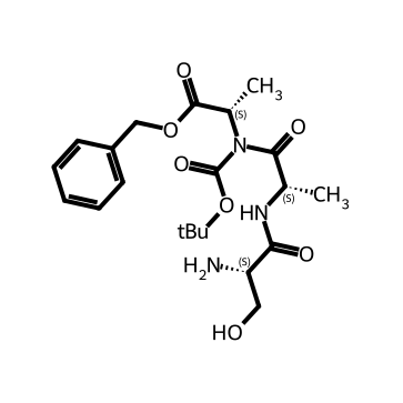 C[C@H](NC(=O)[C@@H](N)CO)C(=O)N(C(=O)OC(C)(C)C)[C@@H](C)C(=O)OCc1ccccc1